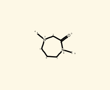 O=C1CN(I)CCCN1I